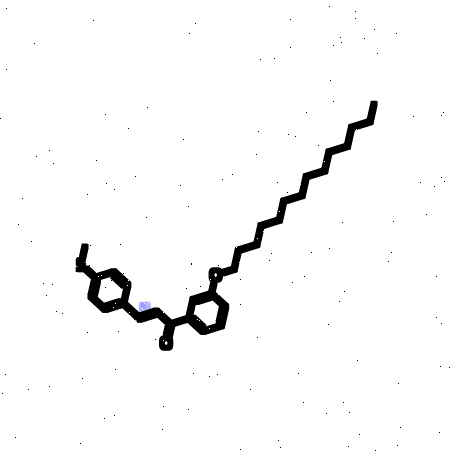 CCCCCCCCCCCCCCOc1cccc(C(=O)/C=C/c2ccc(SC)cc2)c1